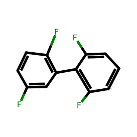 Fc1ccc(F)c(-c2c(F)[c]ccc2F)c1